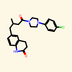 CC(CC(=O)N1CCN(c2ccc(Cl)cc2)CC1)Cc1ccc2c(c1)CCC(=O)N2